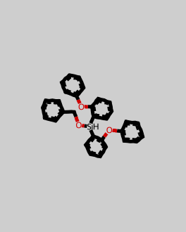 c1ccc(CO[SiH](c2ccccc2Oc2ccccc2)c2ccccc2Oc2ccccc2)cc1